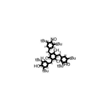 Cc1c(Cc2cc(C(C)(C)C)c(O)c(C(C)(C)C)c2)c(C)c(Cc2cc(C(C)(C)C)c(N=O)c(C(C)(C)C)c2)c(C)c1Cc1cc(C(C)(C)C)c(O)c(C(C)(C)C)c1